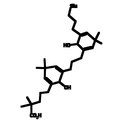 CC1(C)C=C(CCCC2=CC(C)(C)C=C(CCCC(C)(C)C(=O)O)C2O)C(O)C(CCCC(C)(C)C)=C1